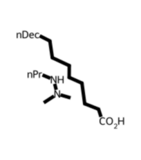 CCCCCCCCCCCCCCCCCC(=O)O.CCCNN(C)C